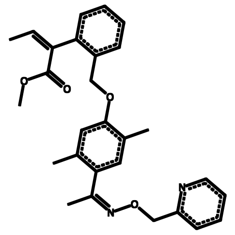 CC=C(C(=O)OC)c1ccccc1COc1cc(C)c(/C(C)=N\OCc2ccccn2)cc1C